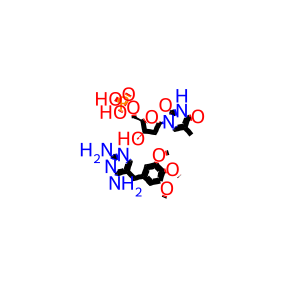 COc1cc(Cc2cnc(N)nc2N)cc(OC)c1OC.Cc1cn([C@H]2C[C@H](O)[C@@H](COP(=O)(O)O)O2)c(=O)[nH]c1=O